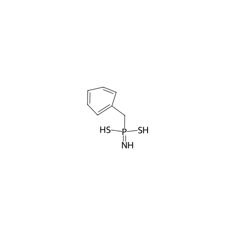 N=P(S)(S)Cc1ccccc1